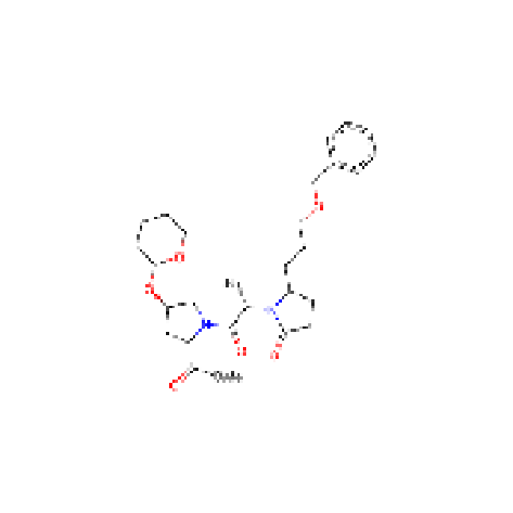 COC(=O)[C@@H]1C[C@@H](OC2CCCCO2)CN1C(=O)[C@@H](N1C(=O)CCC1CCCOCc1ccccc1)C(C)(C)C